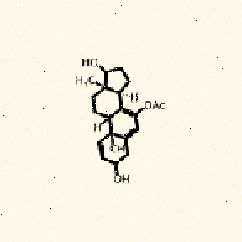 CC(=O)OC1=C2[C@@H](CC[C@]3(C)C(O)CC[C@@H]23)[C@@]2(C)C=CC(O)CC2=C1